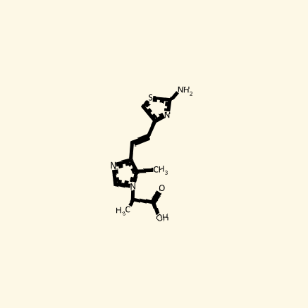 Cc1c(/C=C/c2csc(N)n2)ncn1C(C)C(=O)O